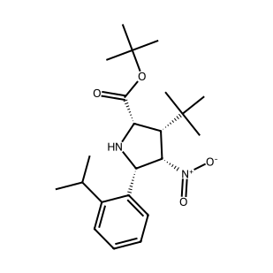 CC(C)c1ccccc1[C@@H]1N[C@H](C(=O)OC(C)(C)C)[C@H](C(C)(C)C)[C@@H]1[N+](=O)[O-]